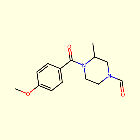 COc1ccc(C(=O)N2CCN(C=O)CC2C)cc1